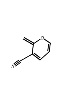 C=C1OC=CC=C1C#N